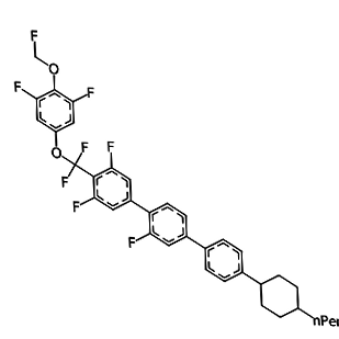 CCCCCC1CCC(c2ccc(-c3ccc(-c4cc(F)c(C(F)(F)Oc5cc(F)c(OCF)c(F)c5)c(F)c4)c(F)c3)cc2)CC1